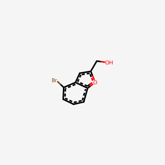 OCc1cc2c(Br)cccc2o1